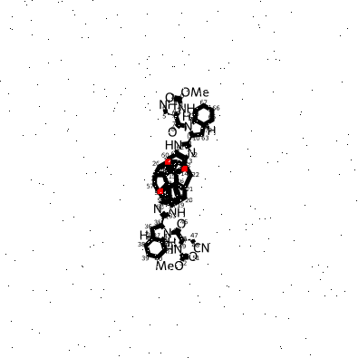 COC(=O)N[C@@H](CN)C(=O)N1[C@H](c2nc3cc(-c4cc5ccc4CCc4ccc(c(-c6ccc7[nH]c([C@@H]8C[C@@H]9CCCC[C@@H]9N8C(=O)[C@H](CC#N)NC(=O)OC)nc7c6)c4)CC5)ccc3[nH]2)C[C@@H]2CCCC[C@@H]21